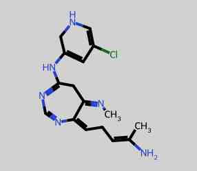 C/N=C1/CC(NC2=CC(Cl)=CNC2)=NC=N/C1=C/C/C=C(\C)N